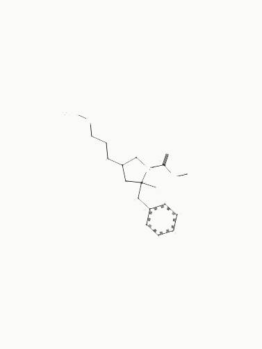 CSOCCCC1CN(C(=O)OC(C)(C)C)C(C)(Cc2ccccc2)C1